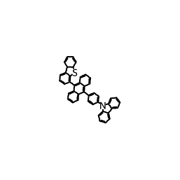 C1=CC2Sc3c(-c4c5ccccc5c(-c5ccc(-n6c7ccccc7c7ccccc76)cc5)c5ccccc45)cccc3C2C=C1